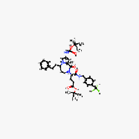 CC(C)(C)OC(=O)CCC(C(=O)NCc1ccc(C(F)(F)F)cc1)N1CCC(CCc2ccccc2)N2C[C@H](NC(=O)OC(C)(C)C)C[C@H]2C1=O